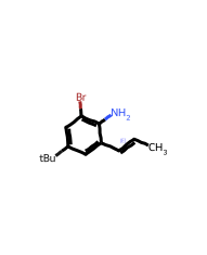 C/C=C/c1cc(C(C)(C)C)cc(Br)c1N